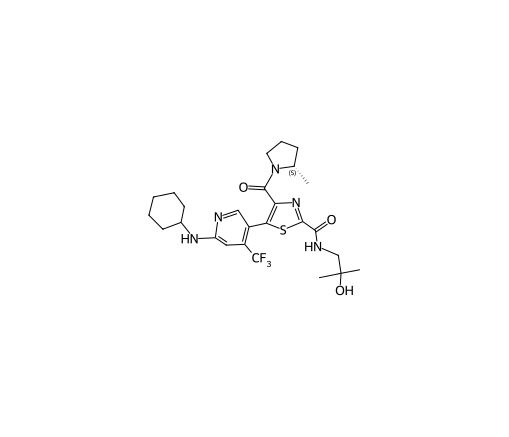 C[C@H]1CCCN1C(=O)c1nc(C(=O)NCC(C)(C)O)sc1-c1cnc(NC2CCCCC2)cc1C(F)(F)F